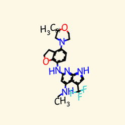 CCNc1cc(Nc2ccc(N3CCO[C@H](C)C3)c3c2OCC3)nc2[nH]cc(C(F)(F)F)c12